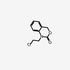 O=C1OCc2ccccc2N1CCCl